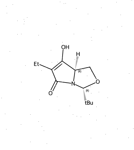 CCC1=C(O)[C@H]2CO[C@H](C(C)(C)C)N2C1=O